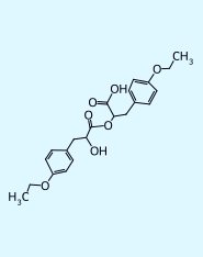 CCOc1ccc(CC(O)C(=O)OC(Cc2ccc(OCC)cc2)C(=O)O)cc1